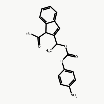 CC(OC(=O)Oc1ccc([N+](=O)[O-])cc1)C1=Cc2ccccc2C1C(=O)C(C)(C)C